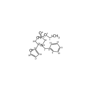 CCOP1(=O)CN(Cc2ccccc2)C(c2ccco2)CO1